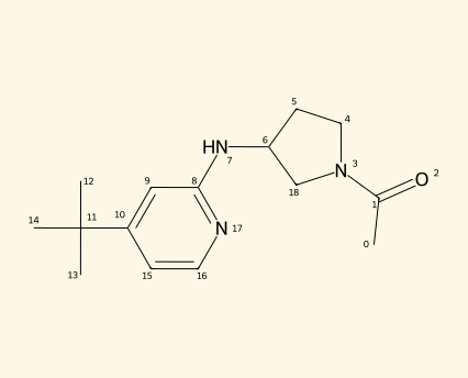 CC(=O)N1CCC(Nc2cc(C(C)(C)C)ccn2)C1